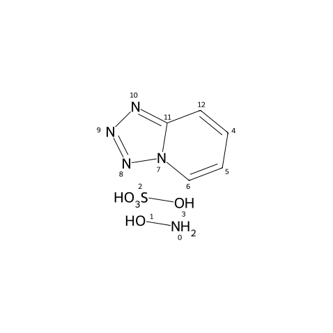 NO.O=S(=O)(O)O.c1ccn2nnnc2c1